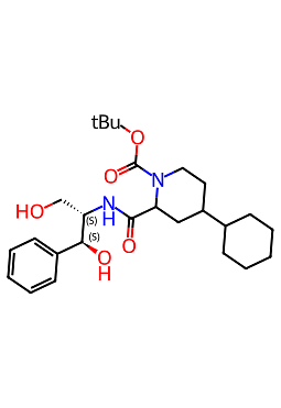 CC(C)(C)OC(=O)N1CCC(C2CCCCC2)CC1C(=O)N[C@@H](CO)[C@@H](O)c1ccccc1